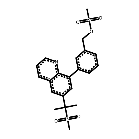 CC(C)(c1cc(-c2cccc(COS(C)(=O)=O)c2)c2ncccc2c1)S(C)(=O)=O